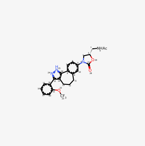 CC(=O)NC[C@H]1CN(c2ccc3c(c2)CCCc2c(-c4ccccc4OC(F)(F)F)n[nH]c2-3)C(=O)O1